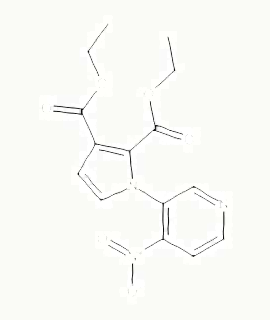 CCOC(=O)c1ccn(-c2cnccc2[N+](=O)[O-])c1C(=O)OCC